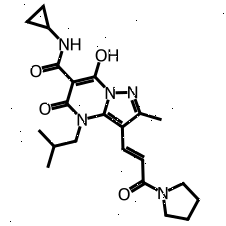 Cc1nn2c(O)c(C(=O)NC3CC3)c(=O)n(CC(C)C)c2c1/C=C/C(=O)N1CCCC1